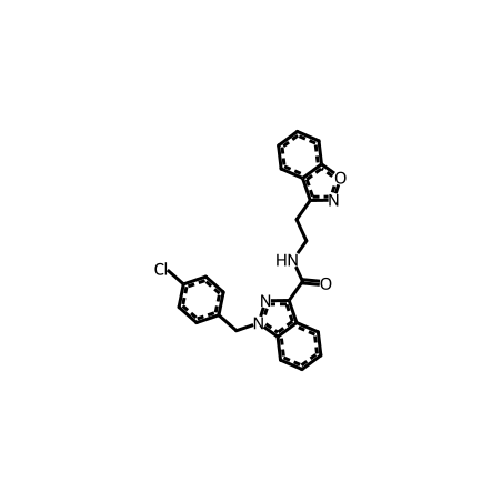 O=C(NCCc1noc2ccccc12)c1nn(Cc2ccc(Cl)cc2)c2ccccc12